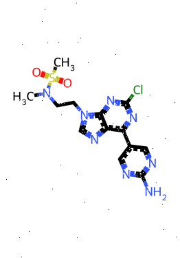 CN(CCn1cnc2c(-c3cnc(N)nc3)nc(Cl)nc21)S(C)(=O)=O